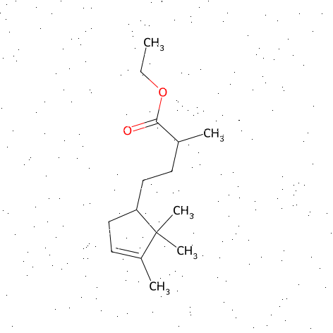 CCOC(=O)C(C)CCC1CC=C(C)C1(C)C